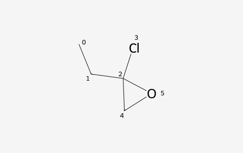 CCC1(Cl)CO1